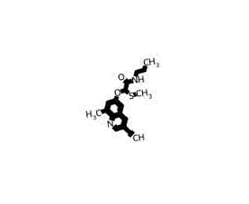 C#Cc1cnc2c(C)cc(OC(SC)C(=O)NCCC)cc2c1